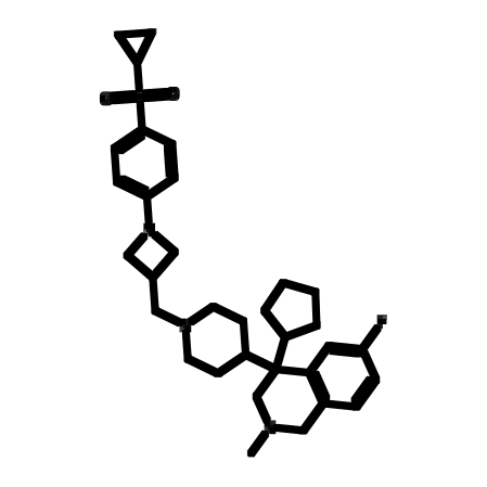 CN1Cc2ccc(F)cc2C(C2CCCC2)(C2CCN(CC3CN(c4ccc(S(=O)(=O)C5CC5)cc4)C3)CC2)C1